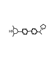 CC1CC(c2ccc(-c3ccc(C(C)N4CCCC4)cc3)cc2)CC(C)N1